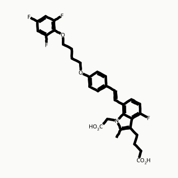 Cc1c(CCCC(=O)O)c2c(F)ccc(/C=C/c3ccc(OCCCCOc4c(F)cc(F)cc4F)cc3)c2n1CC(=O)O